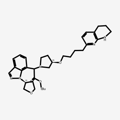 CC(C)(C)OC(=O)C(c1cccc2cnn([C@H]3CCOC3)c12)N1CC[C@@H](OCCCCc2ccc3c(n2)NCCC3)C1